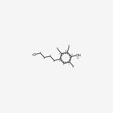 Cc1cc(CCCC[O])c(C)c(C)c1O